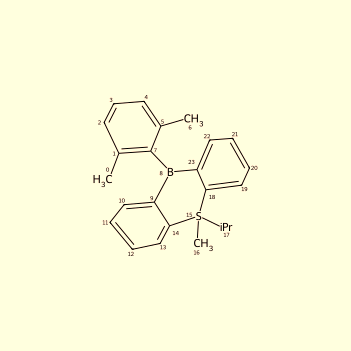 Cc1cccc(C)c1B1c2ccccc2S(C)(C(C)C)c2ccccc21